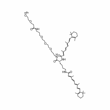 CCCOCCOCCC(=O)NCCCOCCOCCOCCCNC(=O)[C@H](CCCCNC(=O)/C=C(C)/C=C/C=C(C)/C=C/C1=C(C)CCCC1(C)C)NC(=O)/C=C(C)/C=C/C=C(C)/C=C/C1=C(C)CCCC1(C)C